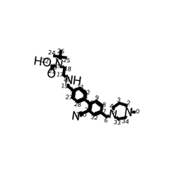 CN1CCCN(Cc2ccc(-c3ccc(CNCCN(C(=O)O)C(C)(C)C)cc3)c(C#N)c2)CC1